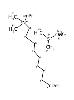 CCCCCCCCCCCCCCCCCC[N+](C)(C)CCC.CO[Si](C)C.[Cl-]